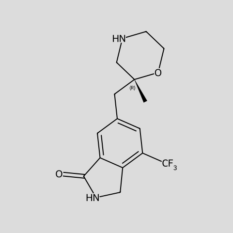 C[C@@]1(Cc2cc3c(c(C(F)(F)F)c2)CNC3=O)CNCCO1